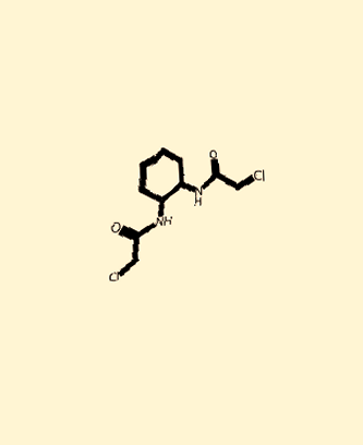 O=C(CCl)NC1CCCCC1NC(=O)CCl